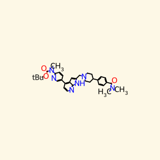 CN(C)C(=O)c1ccc(C2CCN(Cc3cc4c(-c5ccc(N(C)C(=O)OC(C)(C)C)nc5)ccnc4[nH]3)CC2)cc1